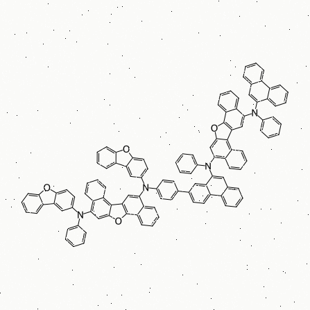 c1ccc(N(c2cc3ccccc3c3ccccc23)c2cc3c(oc4cc(N(c5ccccc5)c5cc6ccccc6c6ccc(-c7ccc(N(c8ccc9oc%10ccccc%10c9c8)c8cc9c(oc%10cc(N(c%11ccccc%11)c%11ccc%12oc%13ccccc%13c%12c%11)c%11ccccc%11c%109)c9ccccc89)cc7)cc56)c5ccccc5c43)c3ccccc23)cc1